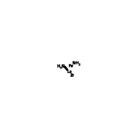 [Fe].[SiH3][La].[SrH2].[Zr]